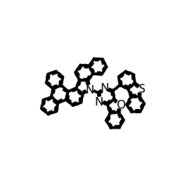 c1ccc2c(c1)ccc1c3c4c5ccccc5c5ccccc5c4ccc3n(-c3nc(-c4cccc5sc6ccccc6c45)c4oc5ccccc5c4n3)c21